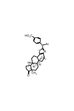 CC(=O)N(c1ccc(C(=O)O)cc1)c1nc2c(s1)C1CC[C@@H]3[C@H](CC[C@]4(C)C(=O)CC[C@@H]34)[C@@]1(C)CC2